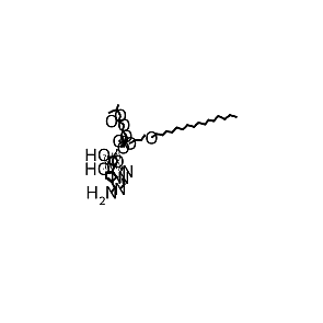 CCCCCCCCCCCCCCCCOCCCOP(=O)(OCOC(=O)OC(C)C)OC[C@H]1O[C@@](C#N)(c2ccc3c(N)ncnn23)[C@H](O)[C@@H]1O